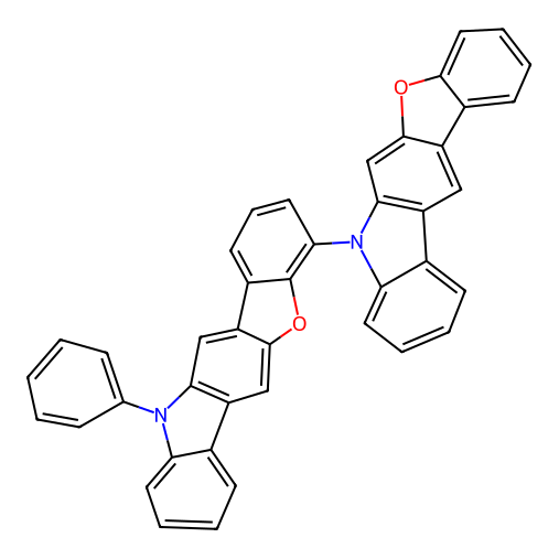 c1ccc(-n2c3ccccc3c3cc4oc5c(-n6c7ccccc7c7cc8c(cc76)oc6ccccc68)cccc5c4cc32)cc1